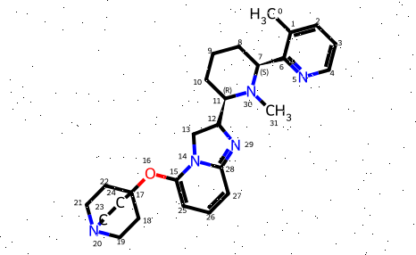 Cc1cccnc1[C@@H]1CCC[C@H](C2CN3C(OC45CCN(CC4)CC5)=CC=CC3=N2)N1C